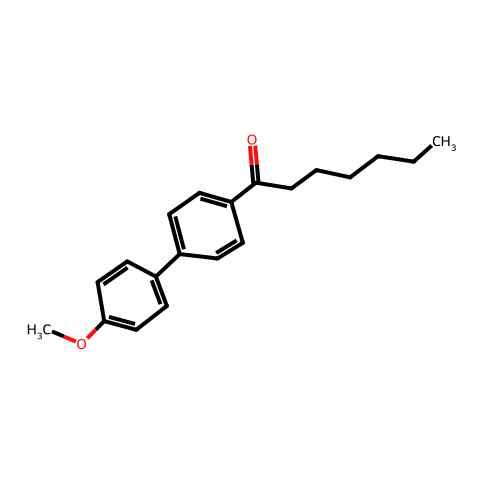 CCCCCCC(=O)c1ccc(-c2ccc(OC)cc2)cc1